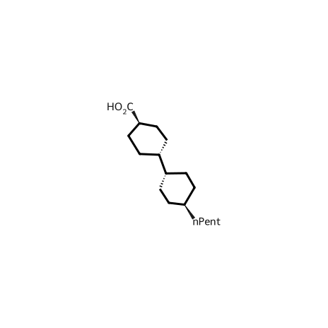 CCCCC[C@H]1CC[C@H]([C@H]2CC[C@H](C(=O)O)CC2)CC1